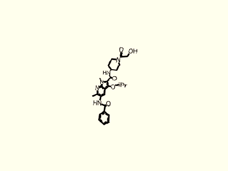 Cc1nc2c(cc1NC(=O)c1ccccc1)c(OC(C)C)c(C(=O)NC1CCN(C(=O)CO)CC1)n2C